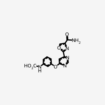 NC(=O)c1coc(-c2cc(Oc3cccc(NC(=O)O)c3)ncn2)n1